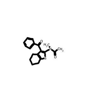 CC(=O)N(C)c1sc2c(c1C(=O)c1ccccc1)CCCC2